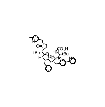 Cc1ccc(CN2CCN([C@H](C(=O)N[C@@H](Cc3ccccc3)[C@@H](O)CN(Cc3ccc(-c4ccccn4)cc3)NC(=O)[C@@H](NC(=O)O)C(C)(C)C)C(C)(C)C)C2=O)cn1